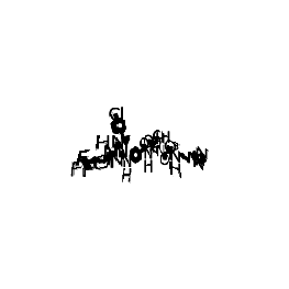 COC(=O)[C@H](CNC(=O)C(=O)NCCn1cncn1)NC(=O)c1ccc(Nc2nc(NC3(c4ccc(Cl)cc4)CC3)nc(OCC(F)(F)F)n2)cc1